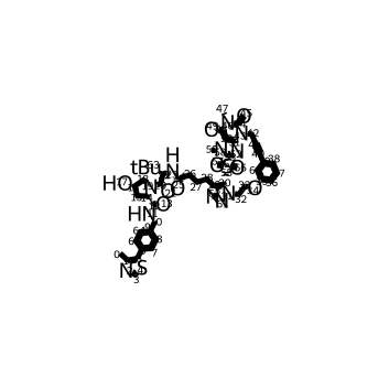 Cc1ncsc1-c1ccc(CNC(=O)[C@@H]2C[C@@H](O)CN2C(=O)[C@@H](NC(=O)CCCc2cn(CCOc3cccc(C#CCn4c(=O)n(C)c(=O)c5c4nc(S(C)(=O)=O)n5C)c3)nn2)C(C)(C)C)cc1